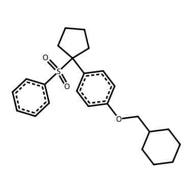 O=S(=O)(c1ccccc1)C1(c2ccc(OCC3CCCCC3)cc2)CCCC1